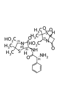 CC1(C)S[C@@H]2[C@H](NC(=O)[C@H](N)c3ccccc3)C(=O)N2[C@H]1C(=O)O.CC1(C)[C@H](C(=O)O)N2C(=O)C[C@H]2S1(=O)=O